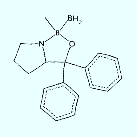 B[B-]1(C)OC(c2ccccc2)(c2ccccc2)C2CCCN21